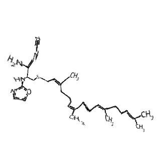 CC(C)=CCC/C(C)=C/CCC(C)=CCCC(C)=CCSCC(Nc1ncco1)/C(N)=N/C#N